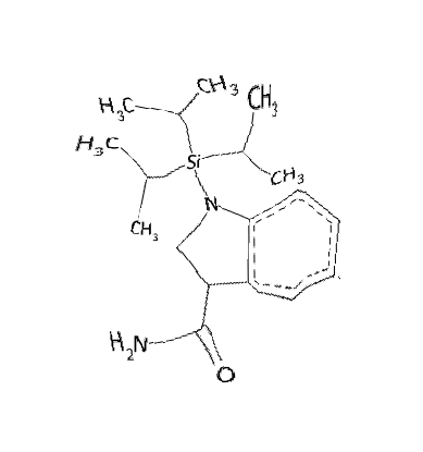 CC(C)[Si](C(C)C)(C(C)C)N1CC(C(N)=O)c2c[c]ccc21